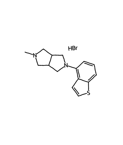 Br.CN1CC2CN(c3cccc4sccc34)CC2C1